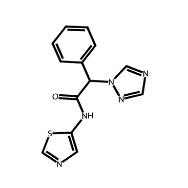 O=C(Nc1cncs1)C(c1ccccc1)n1cncn1